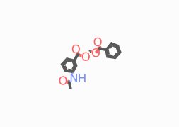 CC(=O)Nc1cccc(C(=O)OCOC(=O)c2ccccc2)c1